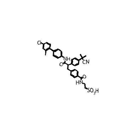 Cc1cc(Cl)ccc1-c1ccc(NC(=O)C(Cc2ccc(C(=O)NCCS(=O)(=O)O)cc2)c2ccc(C(C)(C)C#N)cc2)cc1